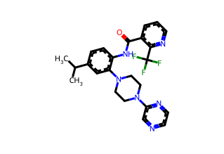 CC(C)c1ccc(NC(=O)c2cccnc2C(F)(F)F)c(N2CCN(c3cnccn3)CC2)c1